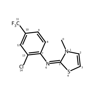 Cn1ccsc1=Nc1ccc(C(F)(F)F)cc1Cl